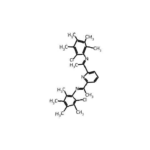 C/C(=N\c1c(C)c(C)c(C)c(C)c1Cl)c1cccc(/C(C)=N/c2c(C)c(C)c(C)c(C)c2Cl)n1